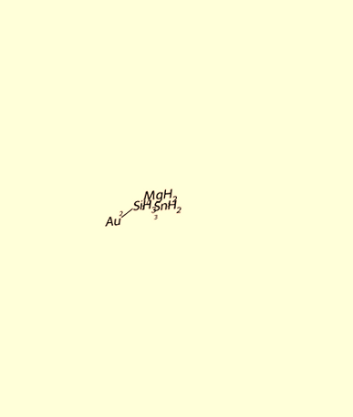 [MgH2].[SiH3][Au].[SnH2]